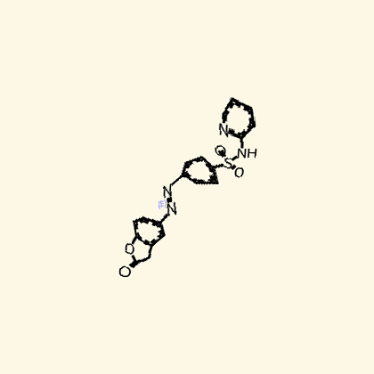 O=C1Cc2cc(/N=N/c3ccc(S(=O)(=O)Nc4ccccn4)cc3)ccc2O1